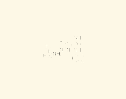 CNC1C(Nc2nc(Nc3cccc4ncsc34)c(C(N)=O)cc2F)CCCC1(F)F